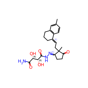 Cc1ccc2c(c1)CCC/C2=C\CC1(C)C(=O)CC/C1=N\NC(=O)[C@H](O)[C@@H](O)C(N)=O